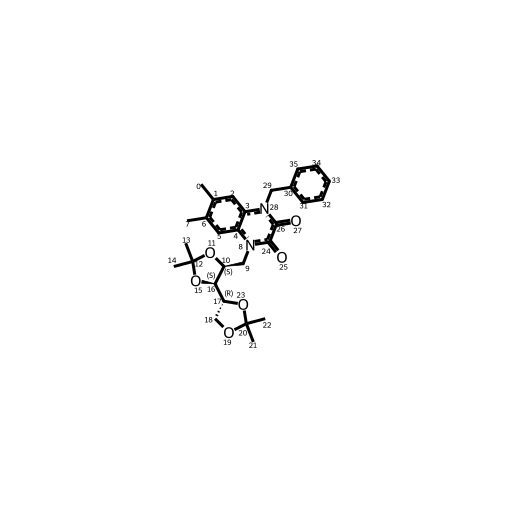 Cc1cc2c(cc1C)n(C[C@@H]1OC(C)(C)O[C@@H]1[C@H]1COC(C)(C)O1)c(=O)c(=O)n2Cc1ccccc1